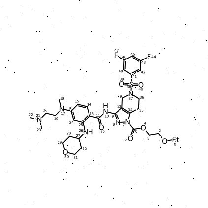 CCOCCOC(=O)n1nc(NC(=O)c2ccc(N(C)CCN(C)C)cc2NC2CCOCC2)c2c1CCN(S(=O)(=O)c1cc(F)cc(F)c1)C2